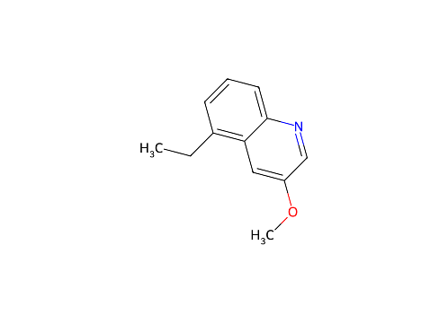 CCc1cccc2ncc(OC)cc12